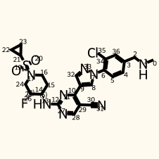 CNCc1ccc(-n2cc(-c3nc(N[C@H]4CCN(S(=O)(=O)C5CC5)C[C@H]4F)ncc3C#N)cn2)c(Cl)c1